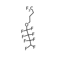 FC(F)C(F)(F)C(F)(F)C(F)(F)OCCCC(F)(F)F